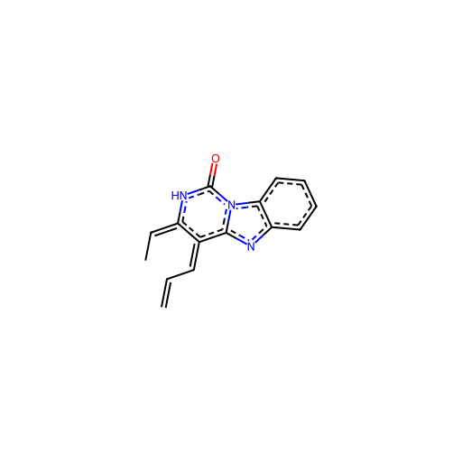 C=C/C=c1\c(=C/C)[nH]c(=O)n2c1nc1ccccc12